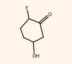 O=C1CC(O)CCC1F